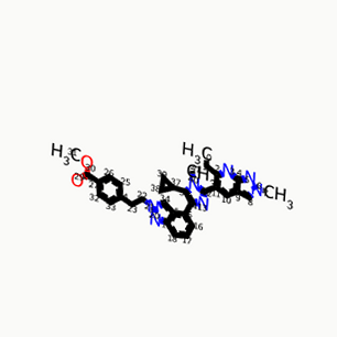 CCc1nc2nn(C)cc2cc1-c1nc(-c2cccc3nn(CCc4ccc(C(=O)OC)cc4)cc23)c(C2CC2)n1C